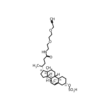 C#CCOCCOCCNC(=O)CCC(C)[C@H]1CC[C@H]2[C@@H]3CC=C4C[C@@H](OS(=O)(=O)O)CC[C@]4(C)[C@H]3CC[C@]12C